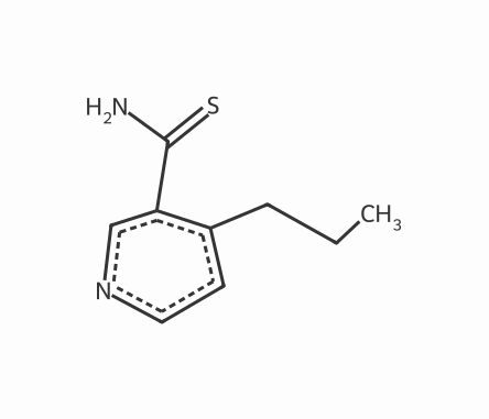 CCCc1ccncc1C(N)=S